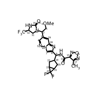 COCC(c1cnn2cc(C(NC(=O)c3nonc3C)C3CC4C(C3)C4(F)F)nc2c1)N1CC(C(F)(F)F)NC1=O